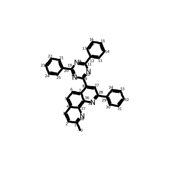 Cc1ccc2ccc3c(-c4nc(-c5ccccc5)nc(-c5ccccc5)n4)cc(-c4ccccc4)nc3c2n1